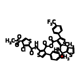 Cc1ccc(-c2csc(NC(=O)c3scc(S(C)(=O)=O)c3Cl)c2C(=O)OC(=O)c2c(-c3ccc(C(F)(F)F)cc3)csc2NC(=O)c2sccc2C)cc1